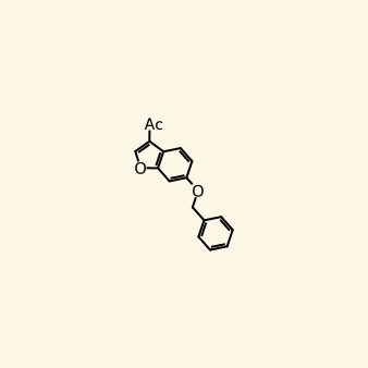 CC(=O)c1coc2cc(OCc3ccccc3)ccc12